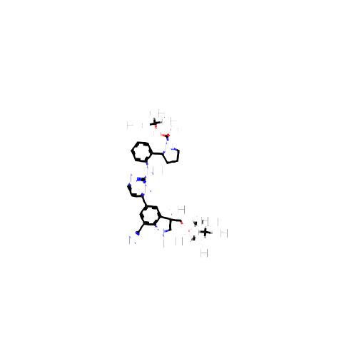 CC(C)(C)OC(=O)N1CCCC1c1ccccc1Nc1nccc(-c2cc(C#N)c3c(c2)[C@@](C)(CO[Si](C)(C)C(C)(C)C)CN3)n1